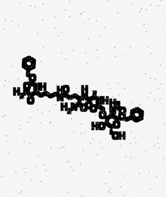 CC(=O)N[C@H]1[C@@H](OCc2ccccc2)O[C@H](CO)[C@@H](O)[C@@H]1OCC(=O)NC(C)C(=O)NC(CCC(=O)NCCCCC(NC(=O)OCc1ccccc1)C(N)=O)C(N)=O